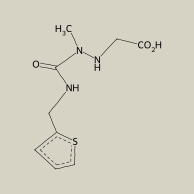 CN(NCC(=O)O)C(=O)NCc1cccs1